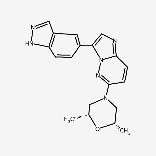 C[C@@H]1CN(c2ccc3ncc(-c4ccc5[nH]ncc5c4)n3n2)C[C@H](C)O1